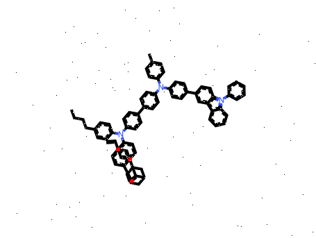 C=Cc1ccc(C2=C3C4CC(C2)CC3(c2ccc(N(c3ccc(CCCC)cc3)c3ccc(-c5ccc(N(c6ccc(C)cc6)c6ccc(-c7ccc8c(c7)c7ccccc7n8-c7ccccc7)cc6)cc5)cc3)cc2)C4)cc1